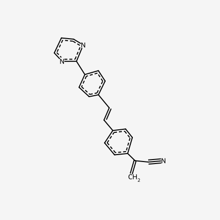 C=C(C#N)c1ccc(C=Cc2ccc(-c3ncccn3)cc2)cc1